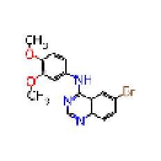 COc1ccc(NC2=NC=NC3C=CC(Br)=CC23)cc1OC